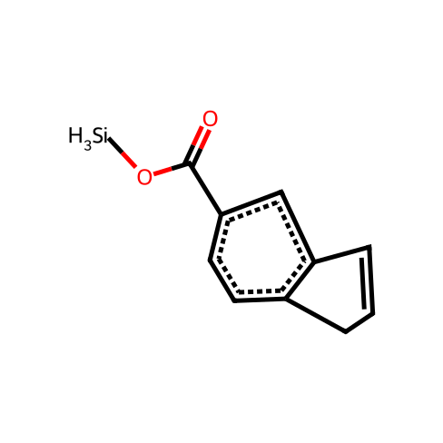 O=C(O[SiH3])c1ccc2c(c1)C=CC2